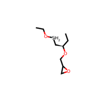 CCO[SiH2]C[C@@H](CC)OCC1CO1